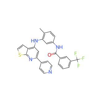 Cc1ccc(NC(=O)c2cccc(C(F)(F)F)c2)cc1Nc1cc(-c2ccncc2)nc2sccc12